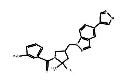 COc1cccc(C(=O)N2CC(Cn3ncc4cc(-c5cn[nH]c5)ccc43)CC2(C)C)c1